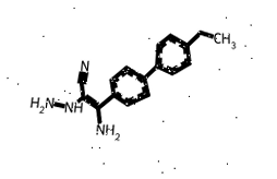 CCc1ccc(-c2ccc(/C(N)=C(\C#N)NN)cc2)cc1